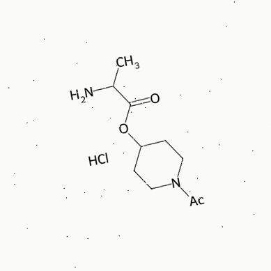 CC(=O)N1CCC(OC(=O)C(C)N)CC1.Cl